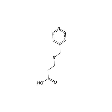 O=C(O)CCSCc1ccncc1